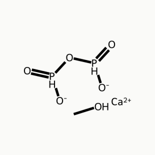 CO.O=[PH]([O-])O[PH](=O)[O-].[Ca+2]